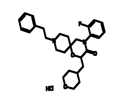 Cl.O=C1C(CC2CCOCC2)OC2(CCN(CCc3ccccc3)CC2)CN1c1ccccc1F